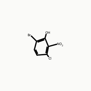 O=[N+]([O-])c1c(Cl)ccc(Br)c1O